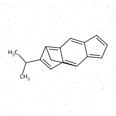 CC(C)C1=Cc2c3c4c(cc2=C1C3)C=CC=4